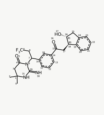 CC1(C)CC(=O)N(C(CC(F)(F)F)c2cccc(C(=O)C[C@@H]3c4ccccc4C[C@H]3O)c2)C(=N)N1